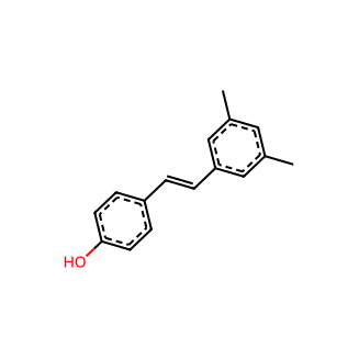 Cc1cc(C)cc(C=Cc2ccc(O)cc2)c1